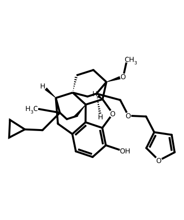 CO[C@]12CC[C@@]3(C[C@@H]1COCc1ccoc1)[C@H]1Cc4ccc(O)c5c4[C@@]3(CCC1(C)CC1CC1)[C@H]2O5